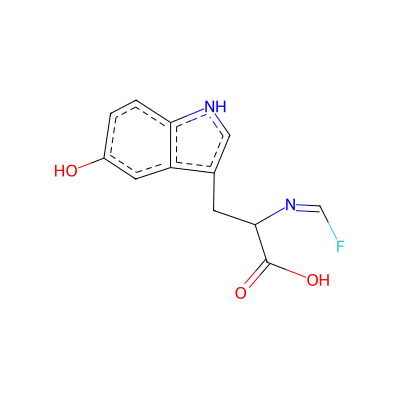 O=C(O)C(Cc1c[nH]c2ccc(O)cc12)/N=C\F